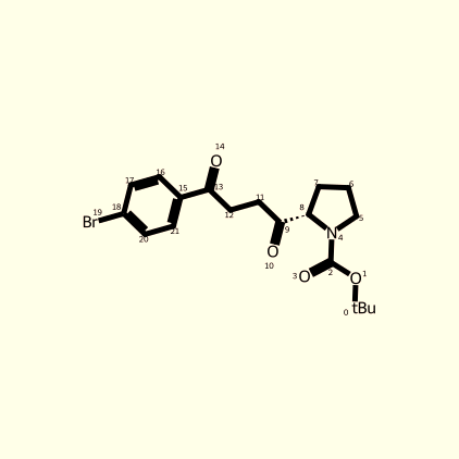 CC(C)(C)OC(=O)N1CCC[C@H]1C(=O)CCC(=O)c1ccc(Br)cc1